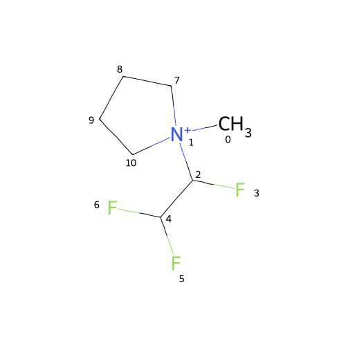 C[N+]1(C(F)C(F)F)CCCC1